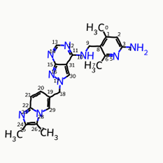 Cc1cc(N)nc(C)c1CNc1ncnc2nn(Cc3ccc4nc(C)c(C)n4c3)cc12